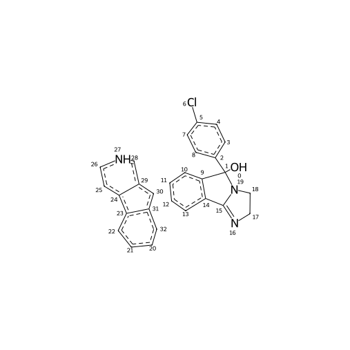 OC1(c2ccc(Cl)cc2)c2ccccc2C2=NCCN21.c1ccc2c3cc[nH]cc-3cc2c1